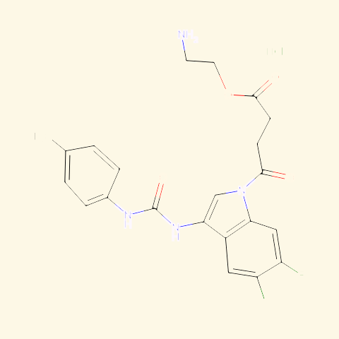 Cl.NCCOC(=O)CCC(=O)n1cc(NC(=O)Nc2ccc(C(F)(F)F)cc2)c2cc(F)c(F)cc21